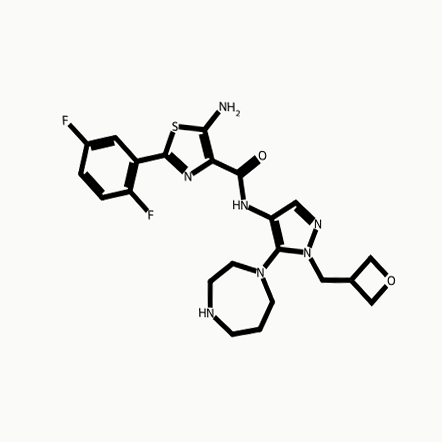 Nc1sc(-c2cc(F)ccc2F)nc1C(=O)Nc1cnn(CC2COC2)c1N1CCCNCC1